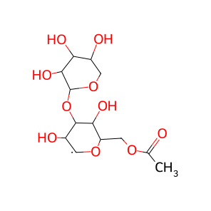 CC(=O)OCC1O[CH]C(O)C(OC2OCC(O)C(O)C2O)C1O